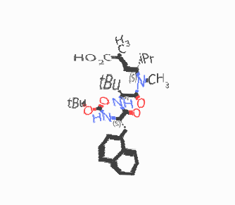 CC(=C[C@H](C(C)C)N(C)C(=O)[C@@H](NC(=O)[C@H](Cc1cccc2ccccc12)NC(=O)OC(C)(C)C)C(C)(C)C)C(=O)O